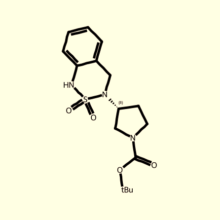 CC(C)(C)OC(=O)N1CC[C@@H](N2Cc3ccccc3NS2(=O)=O)C1